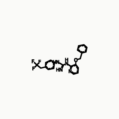 N=C(Nc1ccc(CC(F)(F)F)cc1)Nc1ncccc1OCc1ccccc1